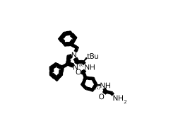 CC(C)(C)[C@@H](NC(=O)C1CCC[C@H](NC(=O)CN)C1)c1nc(-c2ccccc2)cn1Cc1ccccc1